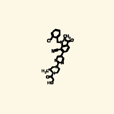 C[C@@H]1CN(c2ncc(-c3ccc4c(=O)n(C)n(Cc5ccccc5Cl)c4c3C#N)cn2)CCN1C(=O)CO